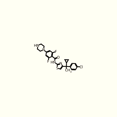 CC(c1ccc(Cl)cc1)(c1csc(NC(=O)c2c(F)cc(N3CCNCC3)cc2F)n1)C1CC1